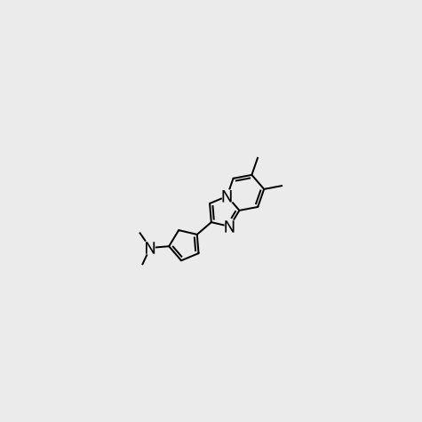 Cc1cc2nc(C3=CC=C(N(C)C)C3)cn2cc1C